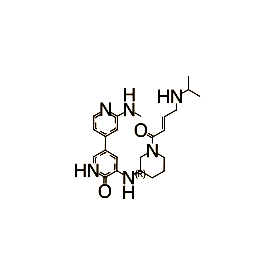 CNc1cc(-c2c[nH]c(=O)c(N[C@@H]3CCCN(C(=O)C=CCNC(C)C)C3)c2)ccn1